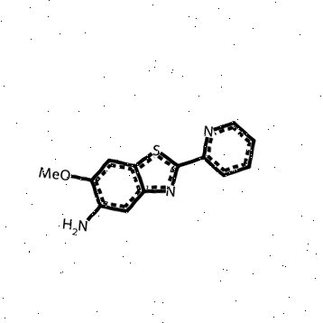 COc1cc2sc(-c3ccccn3)nc2cc1N